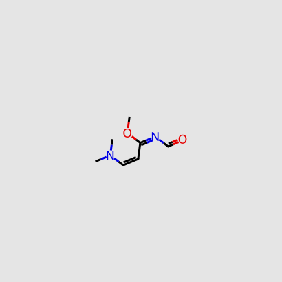 COC(/C=C\N(C)C)=N/C=O